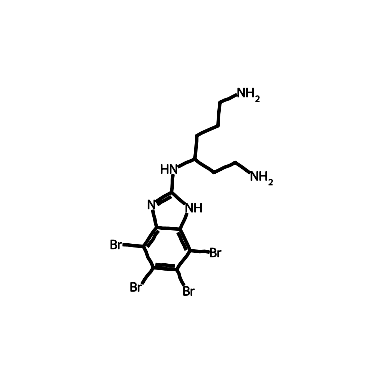 NCCCC(CCN)Nc1nc2c(Br)c(Br)c(Br)c(Br)c2[nH]1